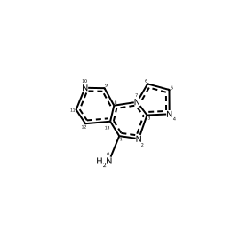 Nc1nc2nccn2c2cnccc12